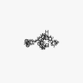 CN1CCSC(c2ccc(Nc3ncc4cc(C#CC5CCN(S(C)(=O)=O)CC5)c(=O)n(Cc5nccnc5Cl)c4n3)cc2)C1